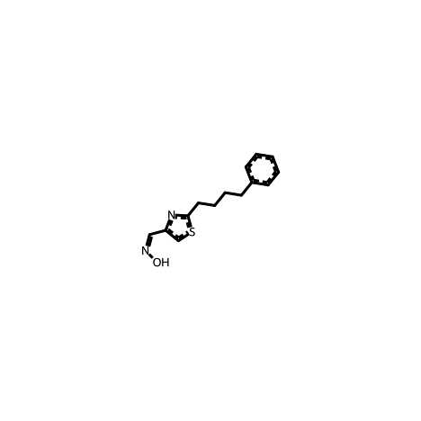 O/N=C\c1csc(CCCCc2ccccc2)n1